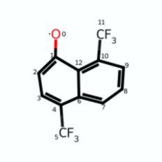 [O]c1ccc(C(F)(F)F)c2cccc(C(F)(F)F)c12